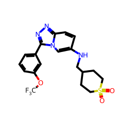 O=S1(=O)CCC(CNc2ccc3nnc(-c4cccc(OC(F)(F)F)c4)n3c2)CC1